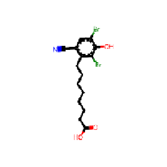 N#Cc1cc(Br)c(O)c(Br)c1CCCCCCCC(=O)O